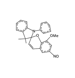 COc1cc(N=O)cc2c1OC1(C=C2)N(c2ccccc2)c2ccccc2C1(C)C